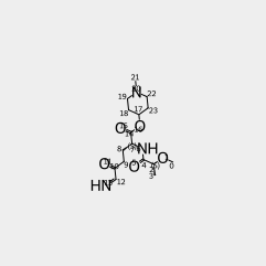 CO[C@@H](C)C(=O)N[C@@H](CCC(=O)C=N)C(=O)OC1CCN(C)CC1